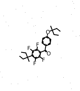 CCC(C)(CC)Oc1ccc(C(=O)c2c(F)c(F)c(C(C)(CC)CC)c(F)c2F)cc1